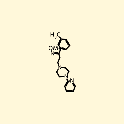 CON=C(CCN1CCN(c2ccccn2)CC1)c1cccc(C)c1